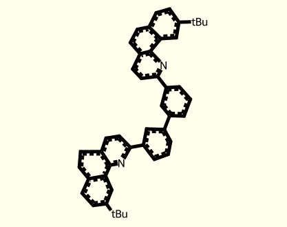 CC(C)(C)c1ccc2ccc3ccc(-c4cccc(-c5cccc(-c6ccc7ccc8ccc(C(C)(C)C)cc8c7n6)c5)c4)nc3c2c1